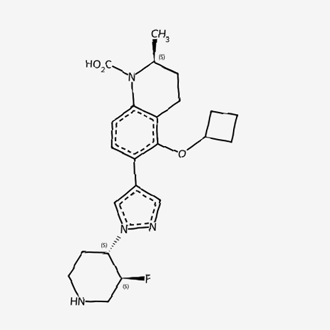 C[C@H]1CCc2c(ccc(-c3cnn([C@H]4CCNC[C@@H]4F)c3)c2OC2CCC2)N1C(=O)O